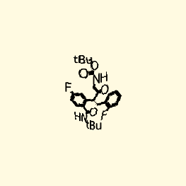 CC(C)(C)NC(=O)c1ccc(F)cc1[C@@H](Cc1ccccc1F)C(=O)CNC(=O)OC(C)(C)C